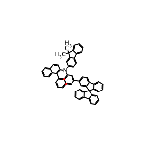 CC1(C)c2ccccc2-c2ccc(N(c3cccc(-c4ccc5c(c4)C4(c6ccccc6-c6ccccc64)c4ccccc4-5)c3)c3ccc4ccccc4c3-c3ccccc3)cc21